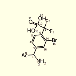 CC(=O)C(N)c1ccc(C(F)(F)P(=O)(O)O)c(Br)c1